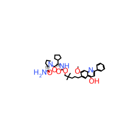 COc1cc2nc(-c3ccccc3)cc(O)c2cc1CCCC(C)(C)COC(=O)N[C@H](C(=O)N1CCC[C@H]1C(N)=O)C1CCCC1